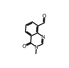 Cn1cnc2c(C=O)cccc2c1=O